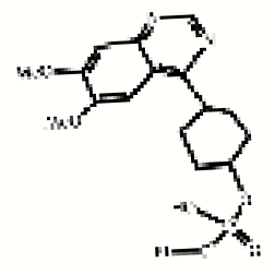 CCOP(=O)(O)OC1CCC(c2ncnc3cc(OC)c(OC)cc23)CC1